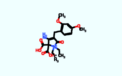 CC[N+]1(CC)C(=O)C(Cc2ccc(OC)cc2OC)=C(N)C1(C(=O)O)C(=O)O